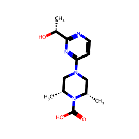 C[C@@H]1CN(c2ccnc([C@@H](C)O)n2)C[C@H](C)N1C(=O)O